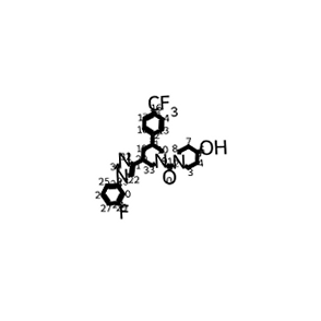 O=C(N1CCC(O)CC1)N1CC(c2ccc(C(F)(F)F)cc2)CC(c2cn(-c3cccc(F)c3)cn2)C1